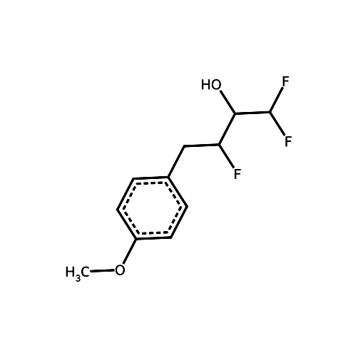 COc1ccc(CC(F)C(O)C(F)F)cc1